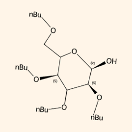 CCCCOCC1O[C@@H](O)[C@@H](OCCCC)C(OCCCC)[C@H]1OCCCC